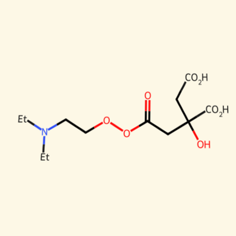 CCN(CC)CCOOC(=O)CC(O)(CC(=O)O)C(=O)O